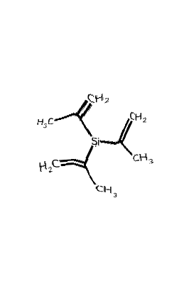 C=C(C)[Si](C(=C)C)C(=C)C